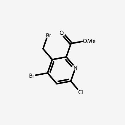 COC(=O)c1nc(Cl)cc(Br)c1CBr